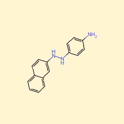 Nc1ccc(NNc2ccc3ccccc3c2)cc1